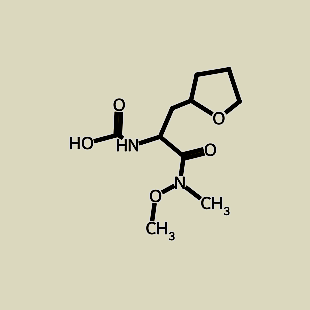 CON(C)C(=O)C(CC1CCCO1)NC(=O)O